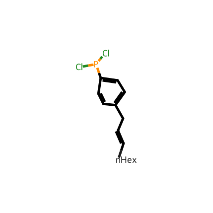 CCCCCCC=CCc1ccc(P(Cl)Cl)cc1